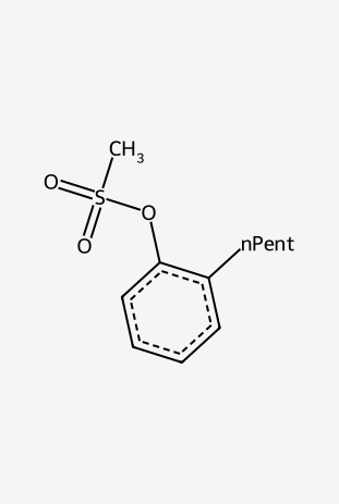 CCCCCc1ccccc1OS(C)(=O)=O